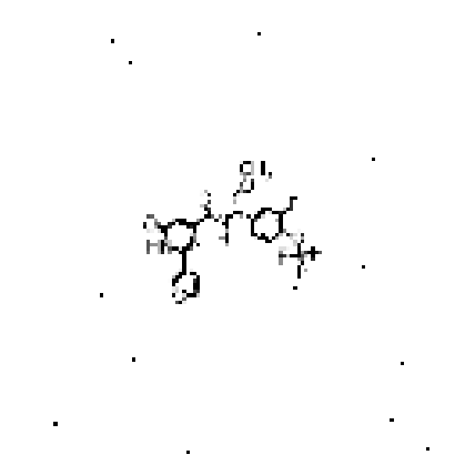 COC[C@@H](NC(=O)c1cc(=O)[nH]c(-c2ccoc2)n1)c1ccc(OC(F)(F)F)c(F)c1